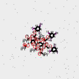 CC(C)C(=O)OC[C@H]1O[C@@](COC(=O)C(C)C)(O[C@H]2O[C@H](COC(=O)C(C)C)[C@@H](OC(=O)COc3c(I)cc(I)cc3I)[C@H](OC(=O)COc3c(I)cc(I)cc3I)[C@H]2OC(=O)C(C)C)[C@@H](OC(=O)COc2c(I)cc(I)cc2I)[C@@H]1OC(=O)C(C)C